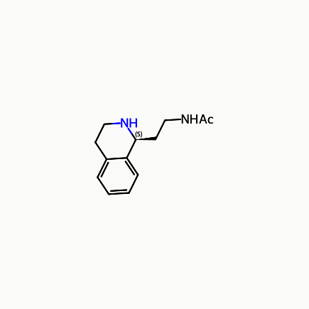 CC(=O)NCC[C@@H]1NCCc2ccccc21